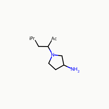 CC(=O)C(CC(C)C)N1CCC(N)C1